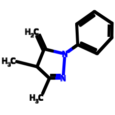 C=C1C(C)C(C)=NN1c1ccccc1